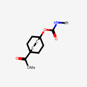 COC(=O)C12CCC(OC(=O)NC(C)C)(CC1)CC2